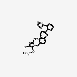 CCCc1nc(CC)c(OC(=O)O)n1Cc1ccc2nc(-c3ccccc3-c3nnn[nH]3)ccc2c1